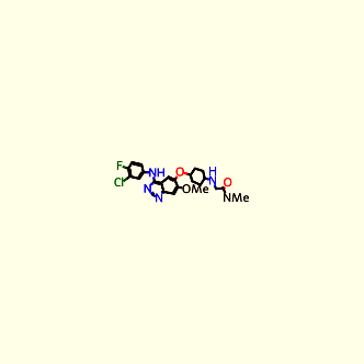 CNC(=O)CNC1CCC(Oc2cc3c(Nc4ccc(F)c(Cl)c4)ncnc3cc2OC)CC1